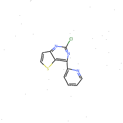 Clc1nc(-c2ccccn2)c2sccc2n1